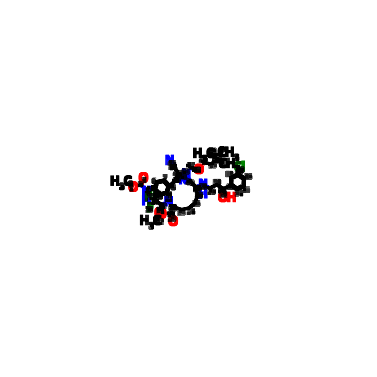 COC(=O)Nc1ccc2c(c1)N(C(=O)C(F)(F)F)[C@@H](C(=O)OC)CCCC[C@H](NCC[C@@H](O)c1cccc(Cl)c1)c1nc-2c(C#N)n1COCC[Si](C)(C)C